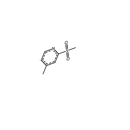 Cc1[c]cnc(S(C)(=O)=O)c1